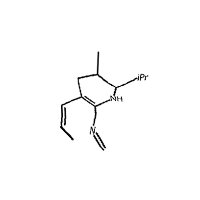 C=NC1=C(/C=C\C)CC(C)C(C(C)C)N1